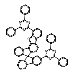 c1ccc(-c2nc(-c3ccccc3)nc(-c3ccc4c(c3)C3(c5ccccc5-4)c4ccccc4-c4c3ccc3c4oc4c(-c5nc(-c6ccccc6)nc(-c6ccccc6)n5)cccc43)n2)cc1